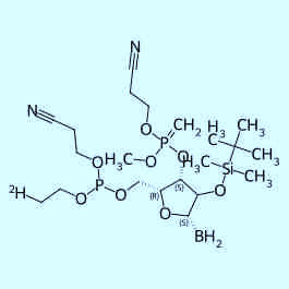 [2H]CCOP(OCCC#N)OC[C@H]1O[C@@H](B)C(O[Si](C)(C)C(C)(C)C)[C@H]1OP(=C)(OC)OCCC#N